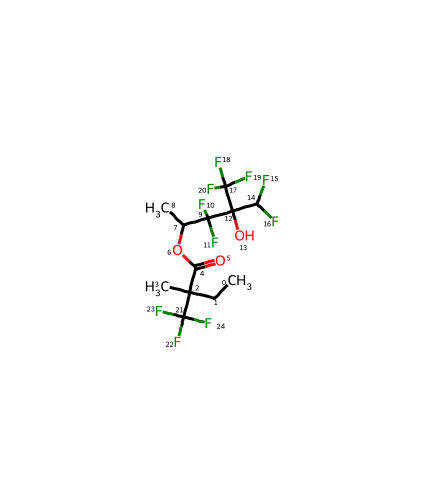 CCC(C)(C(=O)OC(C)C(F)(F)C(O)(C(F)F)C(F)(F)F)C(F)(F)F